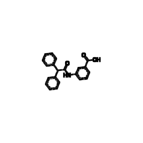 O=C(O)c1cccc(NC(=O)C(c2ccccc2)c2ccccc2)c1